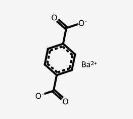 O=C([O-])c1ccc(C(=O)[O-])cc1.[Ba+2]